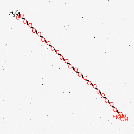 C=CC(=O)OCCOCCOCCOCCOCCOCCOCCOCCOCCOCCOCCOCCOCCOCCOCCOCCOCCOCCOCCOCCOCCOCCOP(=O)(O)O